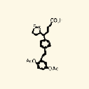 CC(=O)Oc1ccc(OC(C)=O)c(/C=C/c2ccc(C(CCCC(=O)O)C3CCSS3)cc2)c1